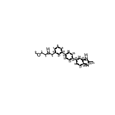 COCCNCc1cccc(-c2ccc(-c3ccc4nc(C)[nH]c4c3)cc2)c1